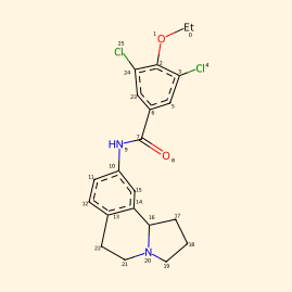 CCOc1c(Cl)cc(C(=O)Nc2ccc3c(c2)C2CCCN2CC3)cc1Cl